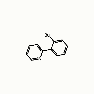 CCC(C)c1ccccc1-c1ccccn1